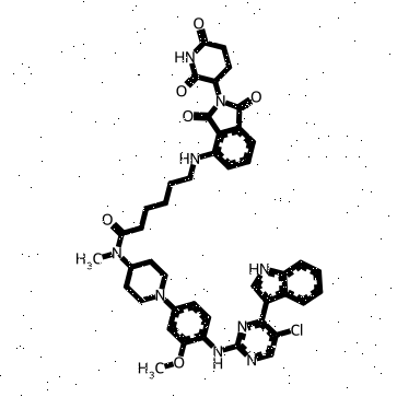 COc1cc(N2CCC(N(C)C(=O)CCCCCNc3cccc4c3C(=O)N(C3CCC(=O)NC3=O)C4=O)CC2)ccc1Nc1ncc(Cl)c(-c2c[nH]c3ccccc23)n1